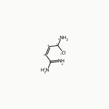 N=C(N)/C=C\C(N)Cl